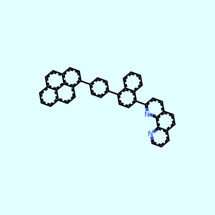 c1cnc2c(c1)ccc1ccc(-c3ccc(-c4ccc(-c5ccc6ccc7cccc8ccc5c6c78)cc4)c4ccccc34)nc12